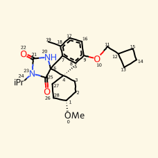 CO[C@H]1CC[C@](C)(C2(c3cc(OCC4CCC4)ccc3C)NC(=O)N(C(C)C)C2=O)CC1